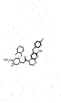 CC1COCCN1C[C@H]1CN(C(=O)O)[C@H](C)CN1CC(=O)N1CCOc2nc(C#N)c(Cc3ccc(F)cc3)cc21